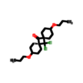 CCCOC1CC[C@]2(CC1)C(=O)[C@@]1(CCC(OCCC)CC1)C2(Cl)Cl